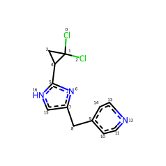 ClC1(Cl)CC1c1nc(Cc2ccncc2)c[nH]1